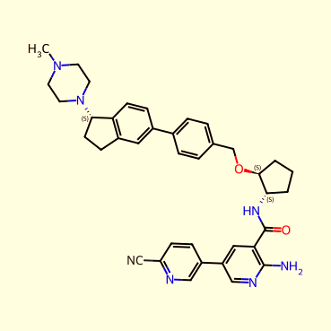 CN1CCN([C@H]2CCc3cc(-c4ccc(CO[C@H]5CCC[C@@H]5NC(=O)c5cc(-c6ccc(C#N)nc6)cnc5N)cc4)ccc32)CC1